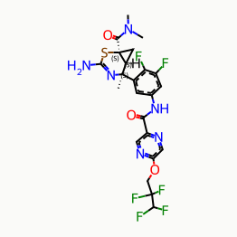 CN(C)C(=O)[C@]12C[C@H]1[C@@](C)(c1cc(NC(=O)c3cnc(OCC(F)(F)C(F)F)cn3)cc(F)c1F)N=C(N)S2